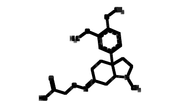 COc1ccc(C23CC/C(=N\OCC(=O)O)CC2N(C)CC3)cc1OC